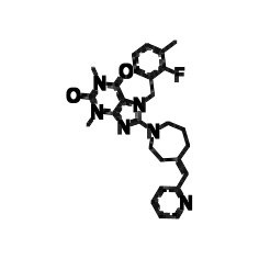 Cc1cccc(Cn2c(N3CCC/C(=C/c4ccccn4)CC3)nc3c2c(=O)n(C)c(=O)n3C)c1F